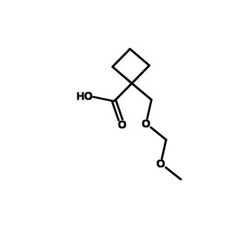 COCOCC1(C(=O)O)CCC1